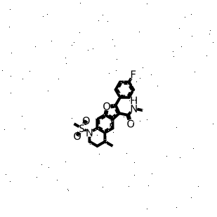 CNC(=O)c1c(-c2ccc(F)cc2)oc2cc3c(cc12)C(C)CCN3S(C)(=O)=O